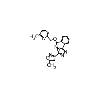 Cc1cccc(COc2nn3c(-c4cc(C)on4)nnc3c3ccccc23)n1